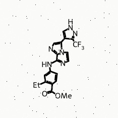 CCc1cc(Nc2nccn3c(-c4c[nH]nc4C(F)(F)F)cnc23)ccc1C(=O)OC